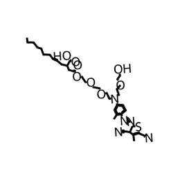 CCCCCCC/C=C/CC(CC(=O)OCCOCCOCCN(CCOCCO)c1ccc(/N=N/C2SC(C#N)=C(C)C2C#N)c(C)c1)C(=O)O